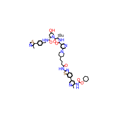 Cc1ncc(-c2ccc3nc(NC(=O)CCCC4CCN(c5cncc(C(=O)N[C@H](C(=O)N6C[C@H](O)C[C@H]6C(=O)NCc6ccc(-c7scnc7C)cc6)C(C)(C)C)c5)CC4)sc3c2)cc1NC(=O)OC1CCCCC1